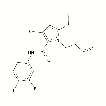 C=CCCn1c(C=C)cc(Cl)c1C(=O)Nc1ccc(F)c(F)c1